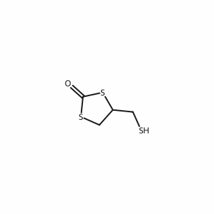 O=C1SCC(CS)S1